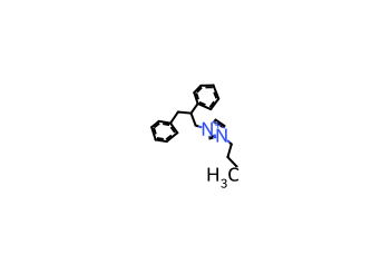 CCCCn1cc[n+](CC(Cc2ccccc2)c2ccccc2)c1